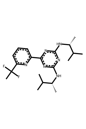 CC(C)[C@@H](C)Nc1nc(N[C@H](C)C(C)C)nc(-c2cccc(C(C)(F)F)n2)n1